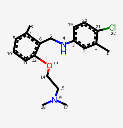 Cc1cc(NCc2c(C)cccc2OCCN(C)C)ccc1Cl